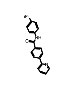 CC(C)c1ccc(NC(=O)c2ccc(-c3ccccn3)cc2)cc1